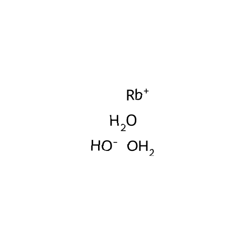 O.O.[OH-].[Rb+]